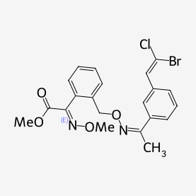 CO/N=C(/C(=O)OC)c1ccccc1CON=C(C)c1cccc(C=C(Cl)Br)c1